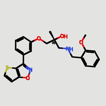 COc1ccccc1CNC[C@@](C)(O)COc1cccc(-c2noc3ccsc23)c1